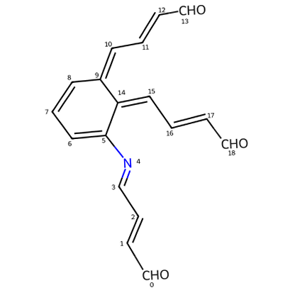 O=C/C=C/C=Nc1cccc(=C/C=C/C=O)c1=C/C=C/C=O